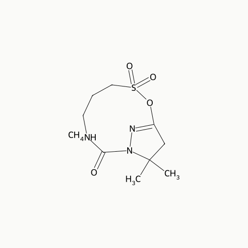 C.CC1(C)CC2=NN1C(=O)NCCCS(=O)(=O)O2